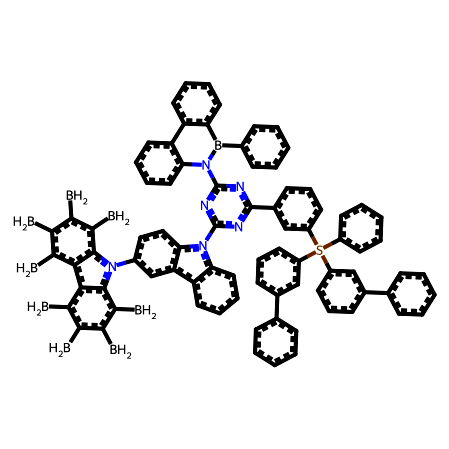 Bc1c(B)c(B)c2c(c1B)c1c(B)c(B)c(B)c(B)c1n2-c1ccc2c(c1)c1ccccc1n2-c1nc(-c2cccc(S(c3ccccc3)(c3cccc(-c4ccccc4)c3)c3cccc(-c4ccccc4)c3)c2)nc(N2B(c3ccccc3)c3ccccc3-c3ccccc32)n1